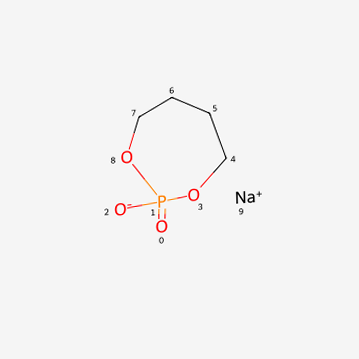 O=P1([O-])OCCCCO1.[Na+]